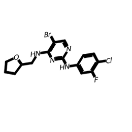 Fc1cc(Nc2ncc(Br)c(NCC3CCCO3)n2)ccc1Cl